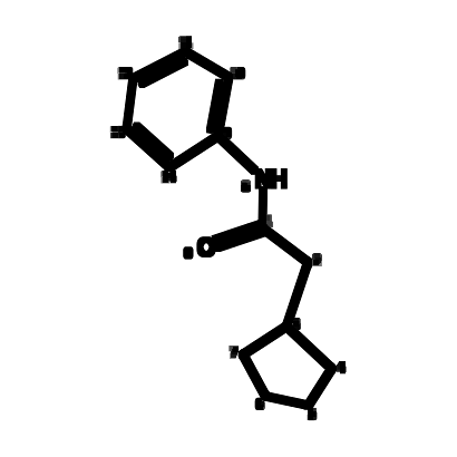 O=C(CC1CCCC1)Nc1ccccc1